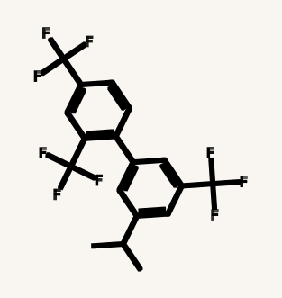 CC(C)c1cc(-c2ccc(C(F)(F)F)cc2C(F)(F)F)cc(C(F)(F)F)c1